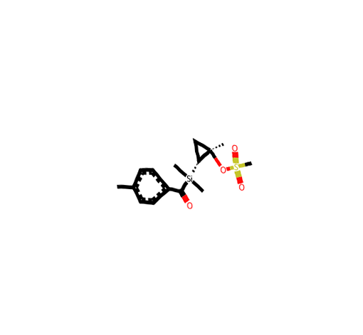 Cc1ccc(C(=O)[Si](C)(C)[C@@H]2C[C@@]2(C)OS(C)(=O)=O)cc1